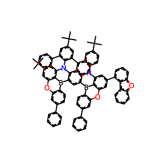 CC(C)(C)c1ccc(N2c3cc4c(cc3B3c5ccc(-c6ccccc6)cc5Oc5cc(-c6cccc7oc8ccccc8c67)cc2c53)B2c3ccc(-c5ccccc5)cc3Oc3cc(C(C)(C)C)cc(c32)N4c2c(-c3ccccc3)cc(C(C)(C)C)cc2-c2ccccc2)cc1